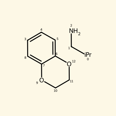 CC(C)CN.c1ccc2c(c1)OCCO2